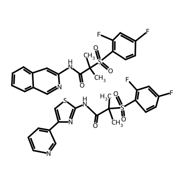 CC(C)(C(=O)Nc1cc2ccccc2cn1)S(=O)(=O)c1ccc(F)cc1F.CC(C)(C(=O)Nc1nc(-c2cccnc2)cs1)S(=O)(=O)c1ccc(F)cc1F